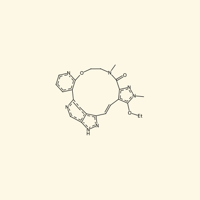 CCOc1c2c(nn1C)C(=O)N(C)CCOc1ncccc1-c1cc3c(n[nH]c3cn1)/C=C/2